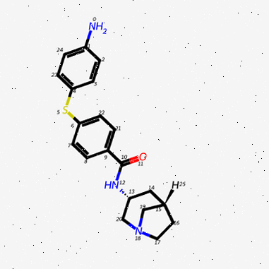 Nc1ccc(Sc2ccc(C(=O)N[C@@H]3C[C@@H]4CCN(C4)C3)cc2)cc1